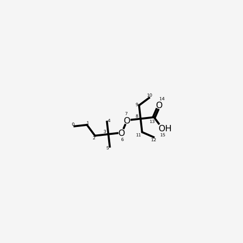 CCCC(C)(C)OOC(CC)(CC)C(=O)O